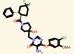 COc1cc(Oc2ncn(CC3(O)CCN(C(=O)[C@@H]4CCC(F)(F)C[C@H]4c4ccccc4)CC3)c(=O)c2N)ccc1Cl